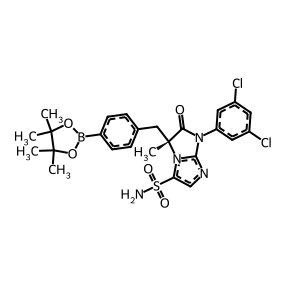 CC1(C)OB(c2ccc(C[C@]3(C)C(=O)N(c4cc(Cl)cc(Cl)c4)c4ncc(S(N)(=O)=O)n43)cc2)OC1(C)C